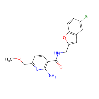 COCc1ccc(C(=O)NCc2cc3cc(Br)ccc3o2)c(N)n1